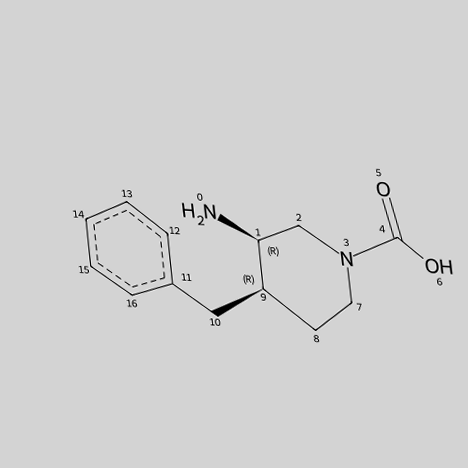 N[C@H]1CN(C(=O)O)CC[C@H]1Cc1ccccc1